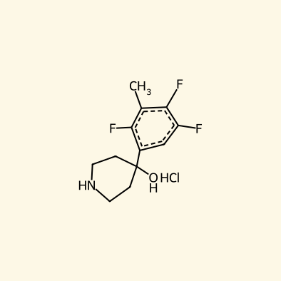 Cc1c(F)c(F)cc(C2(O)CCNCC2)c1F.Cl